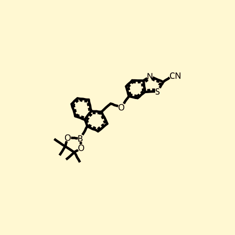 CC1(C)OB(c2ccc(COc3ccc4nc(C#N)sc4c3)c3ccccc23)OC1(C)C